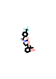 C[C@@H](c1ccc(C(F)(F)F)cc1)N1CC[C@](CC(C)(C)O)(c2ccccc2)OC1=O